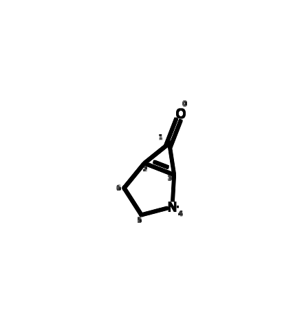 O=c1c2c1[N]CC2